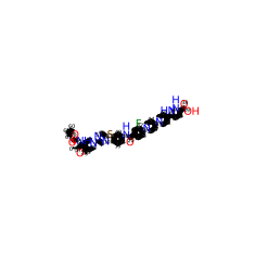 C[C@@H]1OCC2(CCN(c3cnc(Sc4cccc(NC(=O)c5ccc(N6CCC(N7CC=C(C8CCC(C(=O)O)NN8)CC7)CC6)c(F)c5)c4)cn3)CC2)[C@@H]1NC(=O)OC(C)(C)C